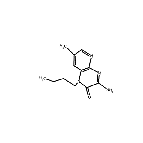 CCCCn1c(=O)c(N)nc2ncc(C)cc21